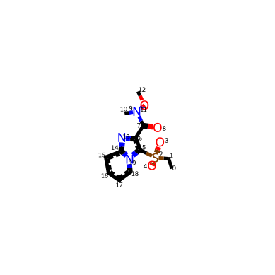 CCS(=O)(=O)c1c(C(=O)N(C)OC)nc2ccccn12